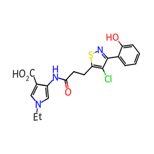 CCn1cc(NC(=O)CCc2snc(-c3ccccc3O)c2Cl)c(C(=O)O)c1